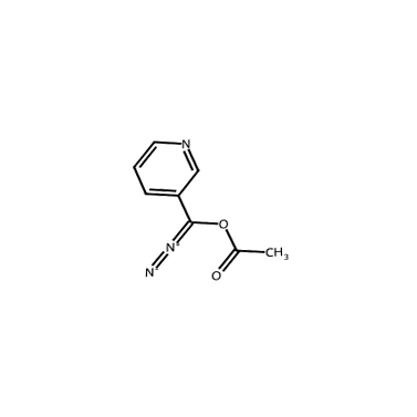 CC(=O)OC(=[N+]=[N-])c1cccnc1